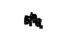 C[C@@]1(c2cc(NC(=O)c3ncc(Cl)cc3Cl)ccc2F)CS(=O)(=O)C2(CCOCC2)C(=N)N1